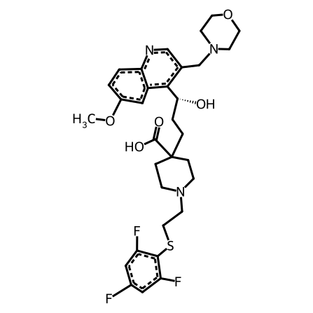 COc1ccc2ncc(CN3CCOCC3)c([C@H](O)CCC3(C(=O)O)CCN(CCSc4c(F)cc(F)cc4F)CC3)c2c1